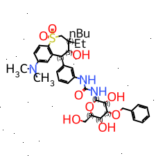 CCCC[C@]1(CC)CS(=O)(=O)c2ccc(N(C)C)cc2[C@H](c2cccc(NC(=O)N[C@@H]3O[C@H](CO)[C@@H](O)[C@H](OCc4ccccc4)[C@H]3O)c2)[C@@H]1O